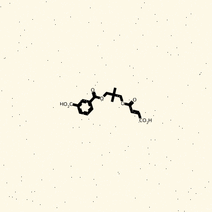 CC(C)(COC(=O)/C=C/C(=O)O)COC(=O)c1cccc(C(=O)O)c1